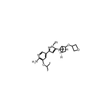 CC(C)n1nc(-c2cnc(N)c(OC(F)F)c2)cc1[C@]12C3C(OC4COC4)C[C@@H]1[C@H]32